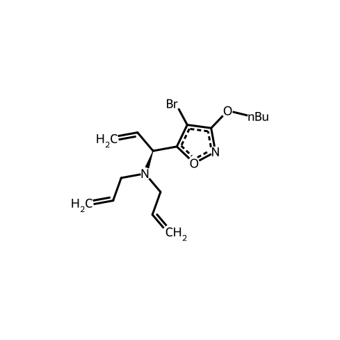 C=CCN(CC=C)[C@@H](C=C)c1onc(OCCCC)c1Br